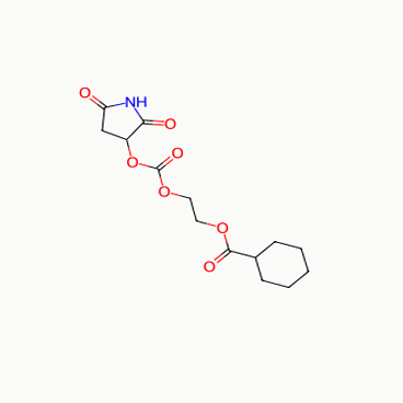 O=C1CC(OC(=O)OCCOC(=O)C2CCCCC2)C(=O)N1